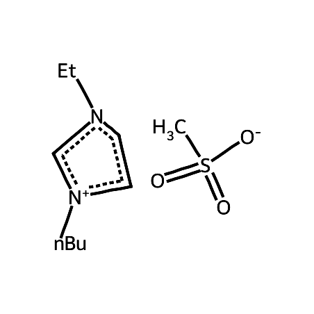 CCCC[n+]1ccn(CC)c1.CS(=O)(=O)[O-]